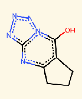 Oc1c2c(nc3nnnn13)CCC2